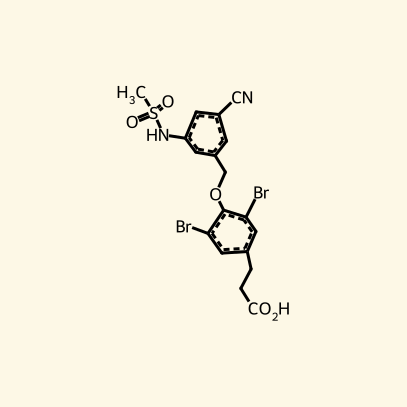 CS(=O)(=O)Nc1cc(C#N)cc(COc2c(Br)cc(CCC(=O)O)cc2Br)c1